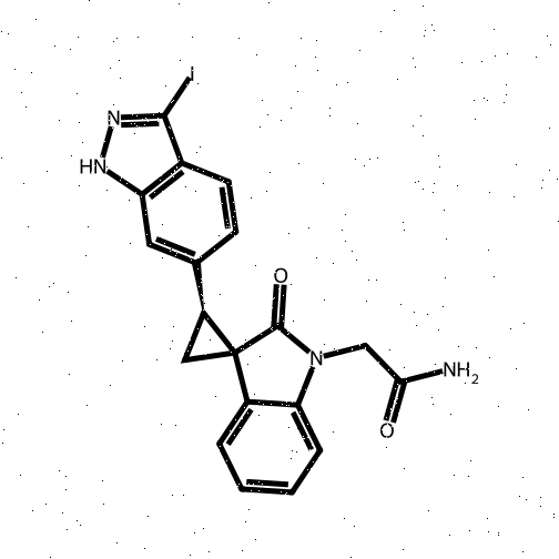 NC(=O)CN1C(=O)C2(C[C@H]2c2ccc3c(I)n[nH]c3c2)c2ccccc21